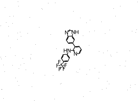 FS(F)(F)(F)(F)c1ccc(Nc2ncccc2-c2ccc3nc[nH]c3c2)cc1